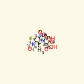 Cc1c(N2CCOCC2)c(F)cc([N+](=O)[O-])c1N(C=C(C(=O)O)C(=O)O)C1CC1